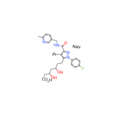 Cc1ccc(CNC(=O)c2nn(-c3ccc(F)cc3)c(CC[C@@H](O)C[C@@H](O)CC(=O)O)c2C(C)C)cn1.[NaH]